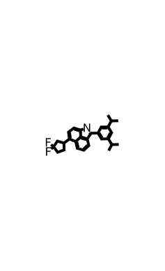 CC(C)c1cc(C2=Nc3ccc(C4CCC(F)(F)C4)c4cccc2c34)cc(C(C)C)c1